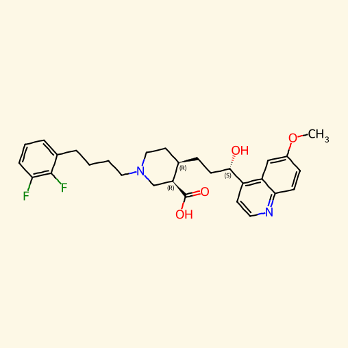 COc1ccc2nccc([C@@H](O)CC[C@@H]3CCN(CCCCc4cccc(F)c4F)C[C@@H]3C(=O)O)c2c1